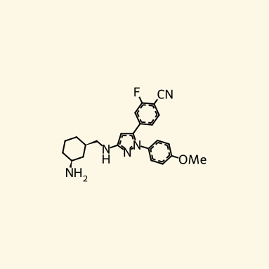 COc1ccc(-n2nc(NC[C@@H]3CCC[C@H](N)C3)cc2-c2ccc(C#N)c(F)c2)cc1